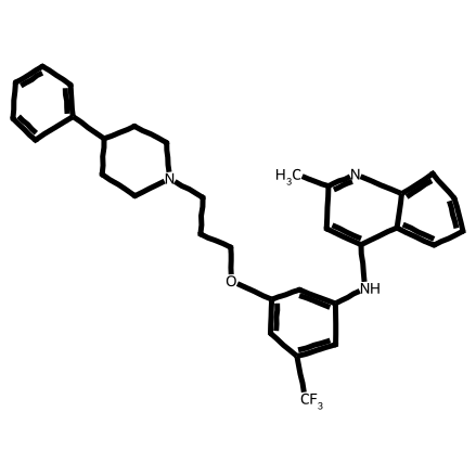 Cc1cc(Nc2cc(OCCCN3CCC(c4ccccc4)CC3)cc(C(F)(F)F)c2)c2ccccc2n1